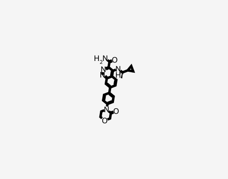 C[C@@H](Nc1c(C(N)=O)nnc2cc(-c3ccc(N4CCOCC4=O)cc3)ccc12)C1CC1